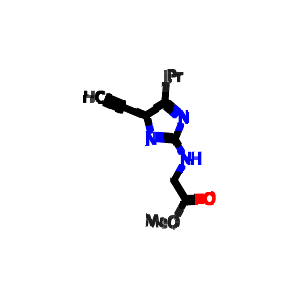 C#CC1N=C(NCC(=O)OC)N=C1C(C)C